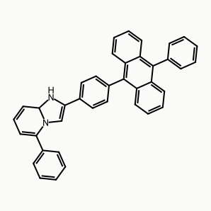 C1=CC2NC(c3ccc(-c4c5ccccc5c(-c5ccccc5)c5ccccc45)cc3)=CN2C(c2ccccc2)=C1